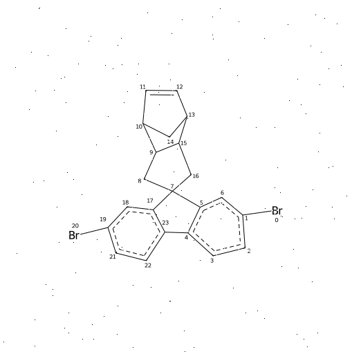 Brc1ccc2c(c1)C1(CC3C4C=CC(C4)C3C1)c1cc(Br)ccc1-2